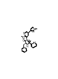 COc1ncc(-c2ccn(C)n2)cc1NC(=O)[C@H](Cc1ccccc1)NC1(c2ccccn2)CC1